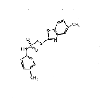 Cc1ccc(NS(=O)(=O)CSc2nc3cc(C)ccc3s2)cc1